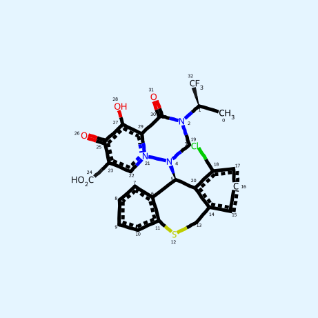 C[C@@H](N1CN([C@@H]2c3ccccc3SCc3cccc(Cl)c32)n2cc(C(=O)O)c(=O)c(O)c2C1=O)C(F)(F)F